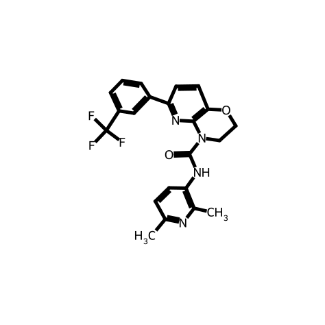 Cc1ccc(NC(=O)N2CCOc3ccc(-c4cccc(C(F)(F)F)c4)nc32)c(C)n1